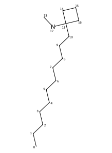 CCCCCCCCCCCC1([N]C)CCC1